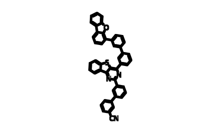 N#Cc1cccc(-c2cccc(-c3nc(-c4cccc(-c5cccc(-c6cccc7c6oc6ccccc67)c5)c4)c4sc5ccccc5c4n3)c2)c1